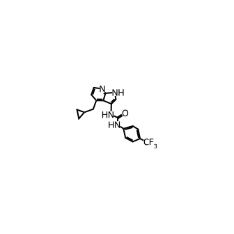 O=C(Nc1ccc(C(F)(F)F)cc1)Nc1c[nH]c2nccc(CC3CC3)c12